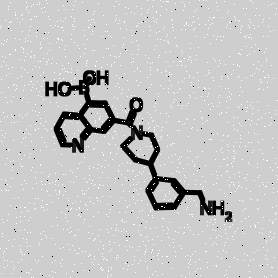 NCc1cccc(C2CCN(C(=O)c3cc(B(O)O)c4cccnc4c3)CC2)c1